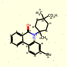 CC1(NC(=O)c2ccccc2-c2ccc(C(C)(C)C)cc2)CCC(C)(C(=O)O)CC1